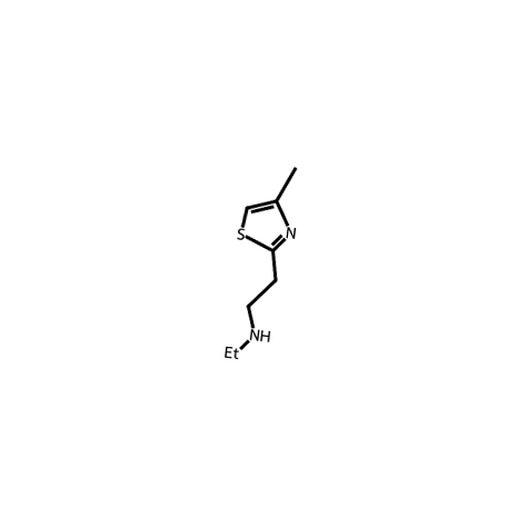 CCNCCc1nc(C)cs1